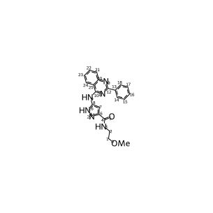 COCCNC(=O)c1cc(Nc2nc(-c3ccccc3)nc3ccccc23)[nH]n1